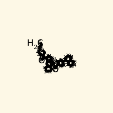 C=CCN1CCN(C(=O)c2ccc3n2Cc2ccccc2N(C(=O)c2ccc(-c4cccc5ccccc45)cc2Cl)C3)CC1